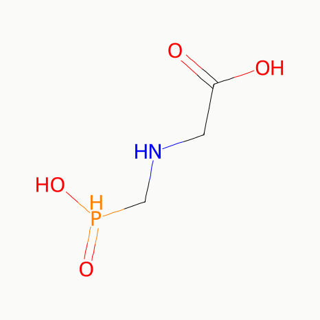 O=C(O)CNC[PH](=O)O